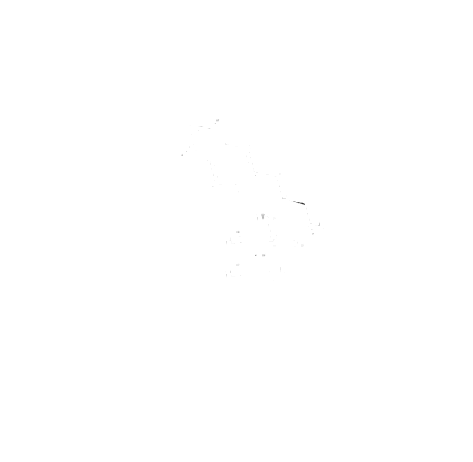 CC[C@H](Cc1ccc2occc2c1)N[S+]([O-])C(C)(C)C